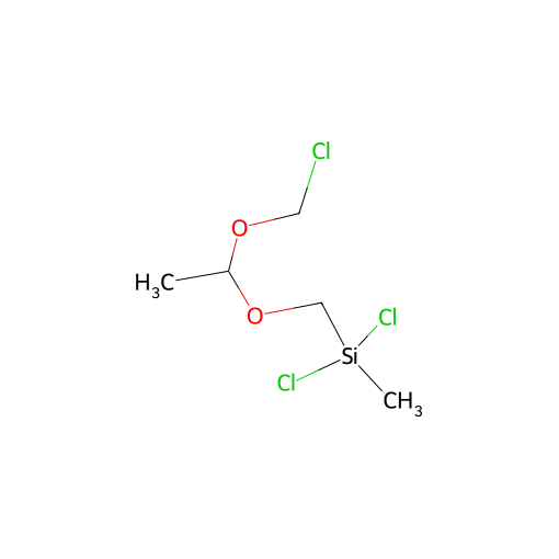 CC(OCCl)OC[Si](C)(Cl)Cl